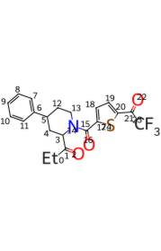 CCC(=O)C1CC(c2ccccc2)CCN1C(=O)c1ccc(C(=O)C(F)(F)F)s1